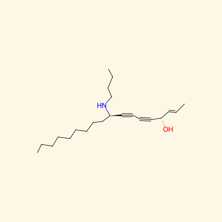 C/C=C/[C@H](O)C#CC#C[C@@H](CCCCCCCCC)NCCCC